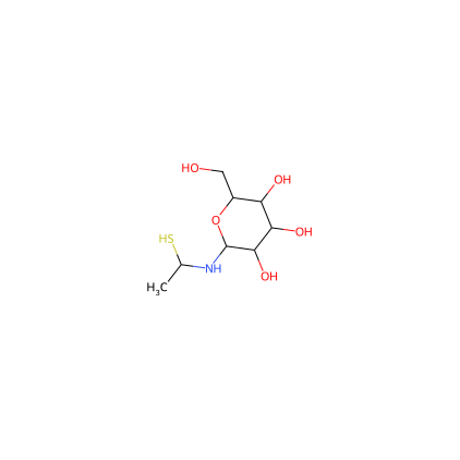 CC(S)NC1OC(CO)C(O)C(O)C1O